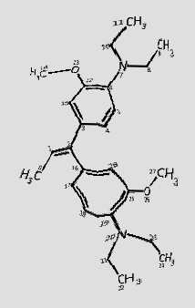 CC=C(c1ccc(N(CC)CC)c(OC)c1)c1ccc(N(CC)CC)c(OC)c1